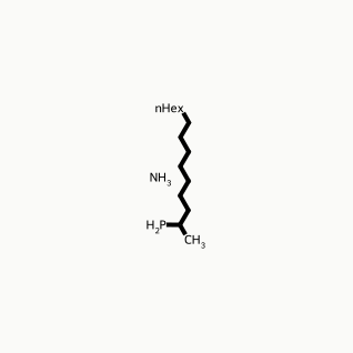 CCCCCCCCCCCCCC(C)P.N